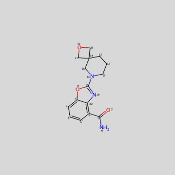 NC(=O)c1[c]ccc2oc(N3CCCC4(COC4)C3)nc12